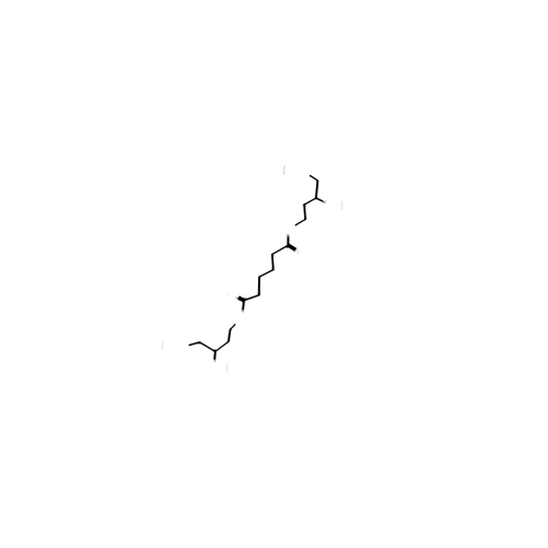 CCC(C)CCOC(=O)CCCCC(=O)OCCC(C)CC